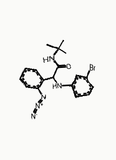 CC(C)(C)NC(=O)C(Nc1cccc(Br)c1)c1ccccc1N=[N+]=[N-]